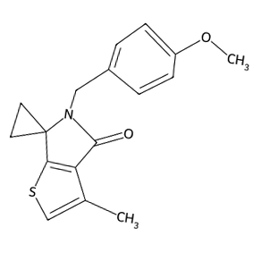 COc1ccc(CN2C(=O)c3c(C)csc3C23CC3)cc1